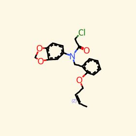 C/C=C\COc1ccccc1CN(C(=O)CCl)c1ccc2c(c1)OCO2